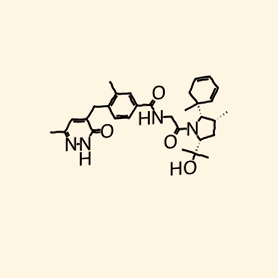 Cc1cc(Cc2ccc(C(=O)NCC(=O)N3[C@H](C4(C)C=CC=CC4)[C@H](C)C[C@@H]3C(C)(C)O)cc2C)c(=O)[nH]n1